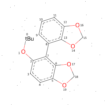 CC(C)(C)Oc1ccc2c(c1-c1cccc3c1OCO3)OCO2